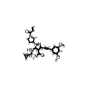 C=CC(=O)N1CCC(n2nc(C#Cc3cc(OC)cc(OC)c3)c(C(N)=O)c2NCC2CC2)C1